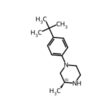 C[C@H]1CN(c2ccc(C(C)(C)C)cc2)CCN1